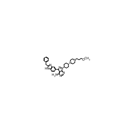 COCCCN1CCN([C@H]2CC[C@H](n3nc(-c4ccc5[nH]c(Cc6ccccc6)nc5c4)c4c(N)ncnc43)CC2)CC1